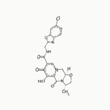 C[C@H]1CO[C@@H]2Cn3cc(C(=O)NCc4nc5ccc(Cl)cc5o4)c(=O)c(O)c3C(=O)N12